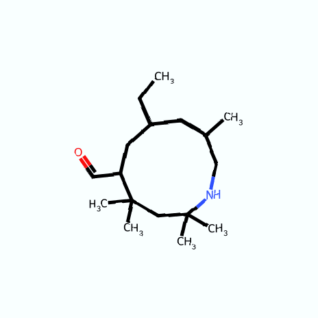 CCC1CC(C)CNC(C)(C)CC(C)(C)C(C=O)C1